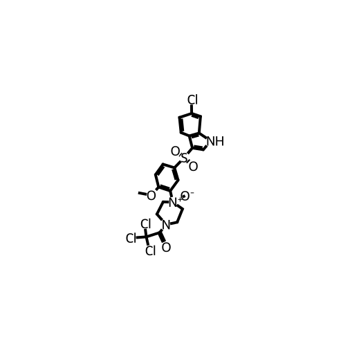 COc1ccc(S(=O)(=O)c2c[nH]c3cc(Cl)ccc23)cc1[N+]1([O-])CCN(C(=O)C(Cl)(Cl)Cl)CC1